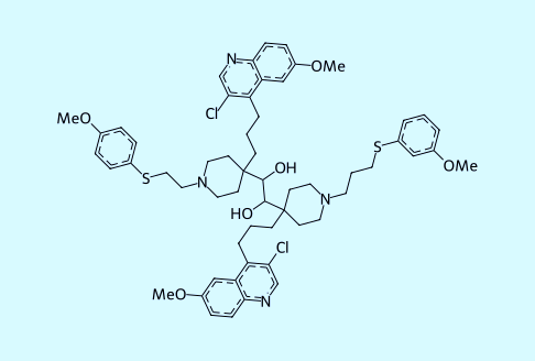 COc1ccc(SCCN2CCC(CCCc3c(Cl)cnc4ccc(OC)cc34)(C(O)C(O)C3(CCCc4c(Cl)cnc5ccc(OC)cc45)CCN(CCCSc4cccc(OC)c4)CC3)CC2)cc1